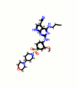 CCCNc1nc(Nc2ccc(S(=O)(=O)N3CCC(N4CCOCC4)CC3)cc2OC)nc2[nH]cc(C#N)c12